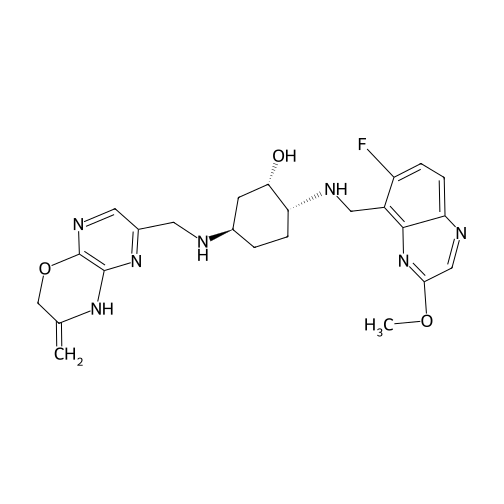 C=C1COc2ncc(CN[C@@H]3CC[C@@H](NCc4c(F)ccc5ncc(OC)nc45)[C@@H](O)C3)nc2N1